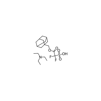 CCN(CC)CC.O=C(OCC12CC3CC(CC(C3)C1)C2)C(F)(F)S(=O)(=O)O